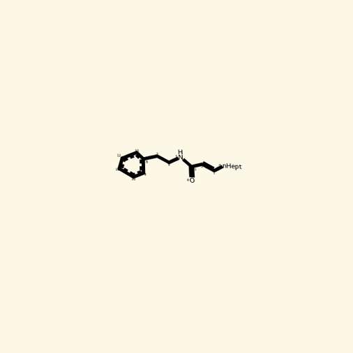 CCCCCCC/C=C/C(=O)NCCc1ccccc1